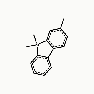 Cc1ccc2c(c1)[Si](C)(C)c1ccccc1-2